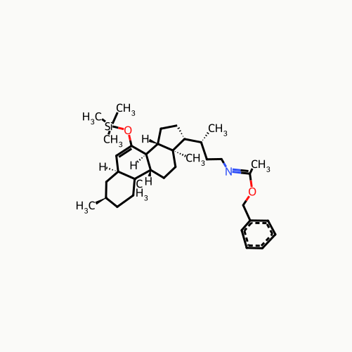 C/C(=N\CC[C@@H](C)[C@H]1CC[C@H]2[C@@H]3C(O[Si](C)(C)C)=C[C@@H]4C[C@H](C)CC[C@]4(C)[C@H]3CC[C@]12C)OCc1ccccc1